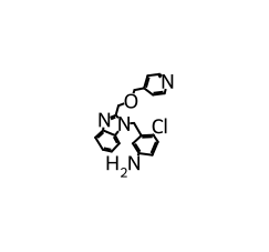 Nc1ccc(Cl)c(Cn2c(COCc3ccncc3)nc3ccccc32)c1